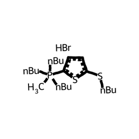 Br.CCCCSc1ccc(P(C)(CCCC)(CCCC)CCCC)s1